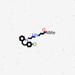 CNC(=O)/C=C/CNCCCCN1c2ccccc2CCc2ccc(Cl)cc21